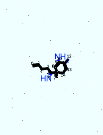 C=CCCC(=N)C1(C)C=C(N)C(C)=CC1